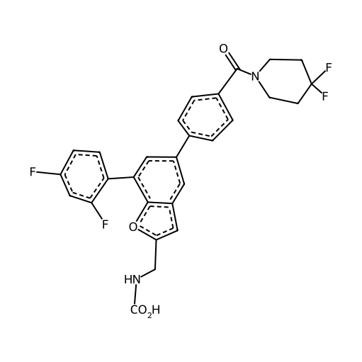 O=C(O)NCc1cc2cc(-c3ccc(C(=O)N4CCC(F)(F)CC4)cc3)cc(-c3ccc(F)cc3F)c2o1